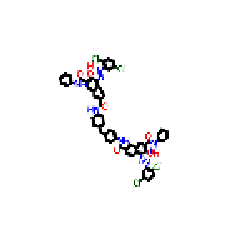 O=C(Nc1ccc(Cc2ccc(NC(=O)c3ccc4c(N=Nc5cc(Cl)ccc5Cl)c(O)c(C(=O)Nc5ccccc5)cc4c3)cc2)cc1)c1ccc2c(N=Nc3cc(Cl)ccc3Cl)c(O)c(C(=O)Nc3ccccc3)cc2c1